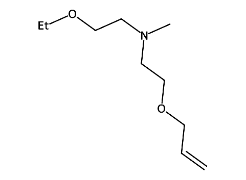 C=CCOCCN(C)CCOCC